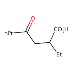 CCCC(=O)CC(CC)C(=O)O